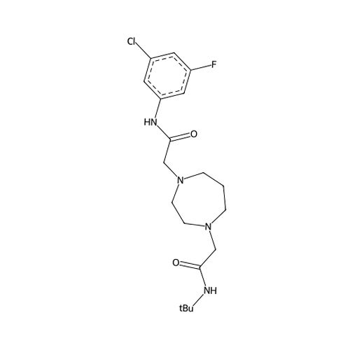 CC(C)(C)NC(=O)CN1CCCN(CC(=O)Nc2cc(F)cc(Cl)c2)CC1